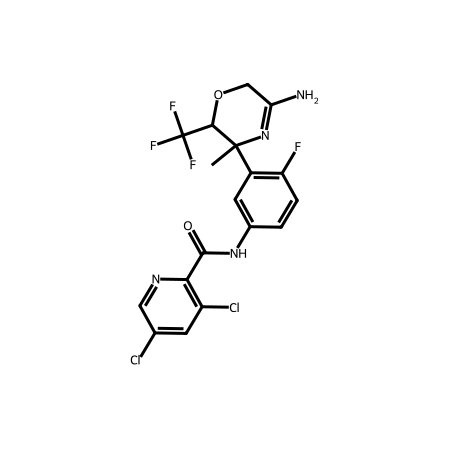 CC1(c2cc(NC(=O)c3ncc(Cl)cc3Cl)ccc2F)N=C(N)COC1C(F)(F)F